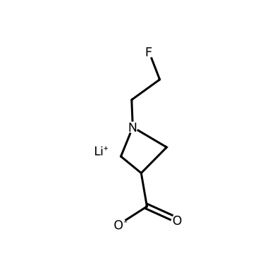 O=C([O-])C1CN(CCF)C1.[Li+]